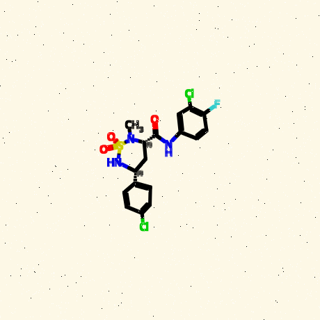 CN1[C@H](C(=O)Nc2ccc(F)c(Cl)c2)C[C@H](c2ccc(Cl)cc2)NS1(=O)=O